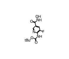 CC(C)(C)OC(=O)Nc1ncc(C(=O)NO)cc1F